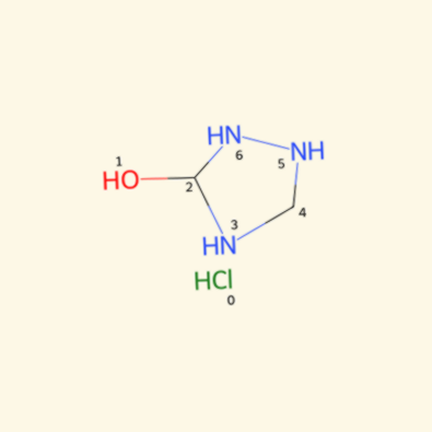 Cl.OC1NCNN1